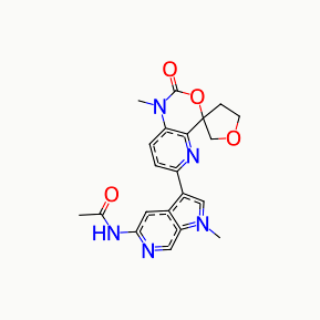 CC(=O)Nc1cc2c(-c3ccc4c(n3)C3(CCOC3)OC(=O)N4C)cn(C)c2cn1